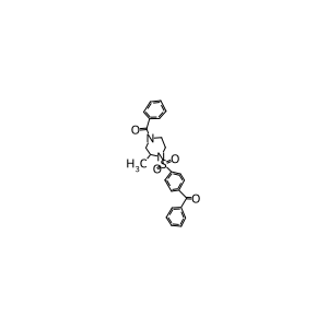 CC1CN(C(=O)c2ccccc2)CCN1S(=O)(=O)c1ccc(C(=O)c2ccccc2)cc1